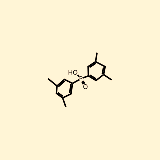 Cc1cc(C)cc(P(=O)(O)c2cc(C)cc(C)c2)c1